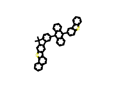 CC1(C)c2ccc(-c3c4ccccc4c(-c4ccc5sc6ccccc6c5c4)c4ccccc34)cc2-c2cc3c(cc21)sc1c2ccccc2ccc31